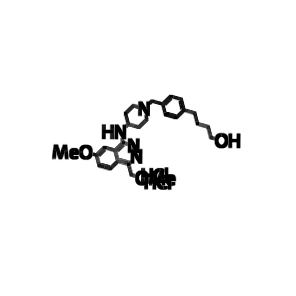 COCc1nnc(NC2CCN(Cc3ccc(CCCCO)cc3)CC2)c2cc(OC)ccc12.Cl.Cl